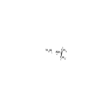 [AlH3].[AlH3].[CH2]C